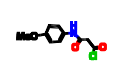 COc1ccc(NC(=O)CC(=O)Cl)cc1